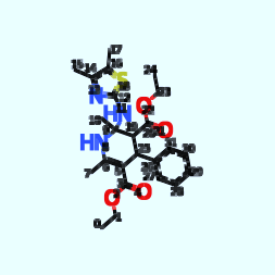 CCOC(=O)C1=C(C)NC(C)(Nc2nc(C)c(C)s2)C(C(=O)OCC)C1c1ccccc1